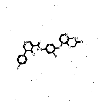 O=C1COc2c(Oc3ccc(NC(=O)C4=CN=CC(c5ccc(F)cc5)C4=O)cc3F)ccnc2N1